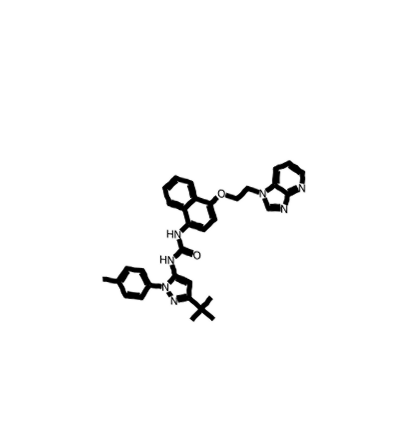 Cc1ccc(-n2nc(C(C)(C)C)cc2NC(=O)Nc2ccc(OCCn3cnc4ncccc43)c3ccccc23)cc1